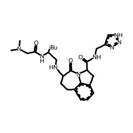 CCC(C)C(CNC1CCc2cccc3c2N(C1=O)C(C(=O)NCc1c[nH]nn1)C3)NC(=O)CN(C)C